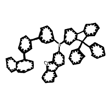 c1ccc(C2(c3ccccc3)c3ccccc3-c3ccc(N(c4cccc(-c5cccc(-c6cccc7ccccc67)c5)c4)c4ccc5c(c4)oc4ccccc45)cc32)cc1